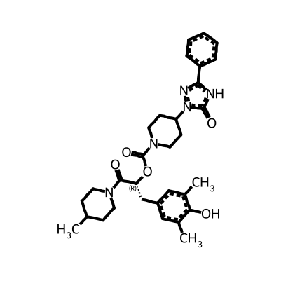 Cc1cc(C[C@@H](OC(=O)N2CCC(n3nc(-c4ccccc4)[nH]c3=O)CC2)C(=O)N2CCC(C)CC2)cc(C)c1O